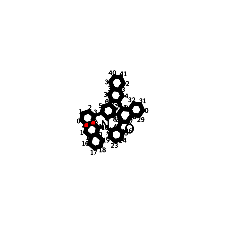 c1ccc(-c2ccccc2N(c2cccc3ccccc23)c2cccc3oc4c5ccccc5c(-c5ccc6ccccc6c5)cc4c23)cc1